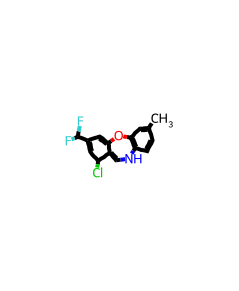 Cc1ccc2c(c1)OC1=CC(C(F)F)=CC(Cl)C1=CN2